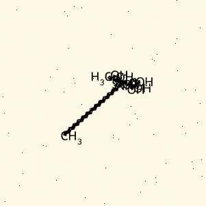 CCCCCCCCCCCCCCCCCCCCCCCCCC(=S)NC(COC1CCC(O)C(O)C1O)C(O)CC(O)CC